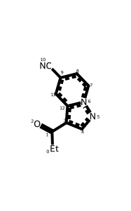 CCC(=O)c1cnn2ccc(C#N)cc12